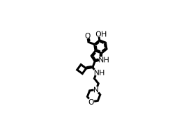 O=Cc1c(O)ccc2[nH]c(C(NCCN3CCOCC3)=C3CCC3)cc12